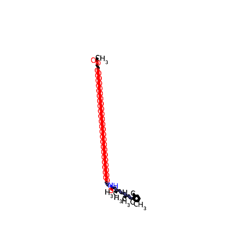 CC(=O)OCCOOOOOOOOOOOOOOOOOOOOOOOOOOOOOOOOOOOOOOOOOOOO/C=C\NC(=O)/C=C(C)/C=C/C=C(C)/C=C/C1=C(C)CCCC1(C)C